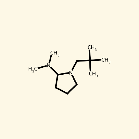 CN(C)C1CCCN1CC(C)(C)C